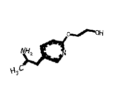 CC(N)Cc1ccc(OCCO)nc1